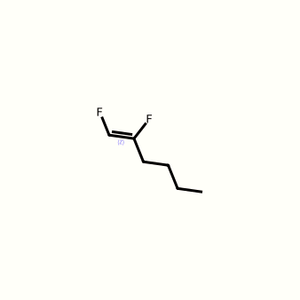 CCCC/C(F)=C/F